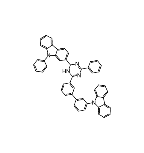 c1ccc(C2=NC(c3ccc4c5ccccc5n(-c5ccccc5)c4c3)NC(c3cccc(-c4cccc(-n5c6ccccc6c6ccccc65)c4)c3)=N2)cc1